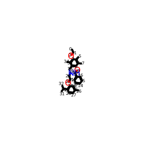 CCOc1c(C)c(C)c(OCc2ccccc2)c(CNCCOc2cc(C)ccc2C(C)C)c1C